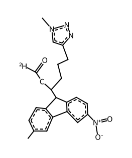 [2H]C(=O)CC(CCCc1cn(C)nn1)C1c2ccc(C)cc2-c2cc([N+](=O)[O-])ccc21